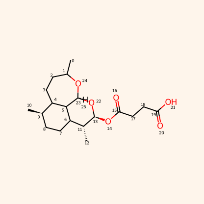 CC1CCC2C3C(CC[C@H]2C)[C@@H](C)[C@H](OC(=O)CCC(=O)O)O[C@@H]3O1